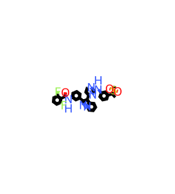 CC(c1cccc(Nc2nccc(-c3c(-c4cccc(NC(=O)c5c(F)cccc5F)c4)nn4ccccc34)n2)c1)S(C)(=O)=O